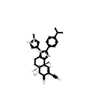 CC(C)c1ccc(-c2nc3c(n2-c2cnn(C)c2)CC[C@@H]2[C@@H](C)C(=O)C(C#N)=C[C@@]32C)cc1